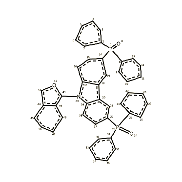 O=P(c1ccccc1)(c1ccccc1)c1ccc2c(c1)c1cc(P(=O)(c3ccccc3)c3ccccc3)ccc1n2-c1occ2ccccc12